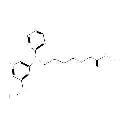 CCOc1cncc(N(CCCCCCC(=O)NO)c2ccccn2)c1